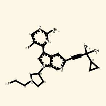 CC(O)(C#Cc1cc2c(-c3nc(N)ncc3F)cn(C3CCN(CCF)C3)c2cn1)C1CC1